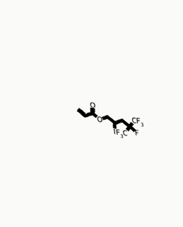 C=CC(=O)OCC(I)CC(F)(C(F)(F)F)C(F)(F)F